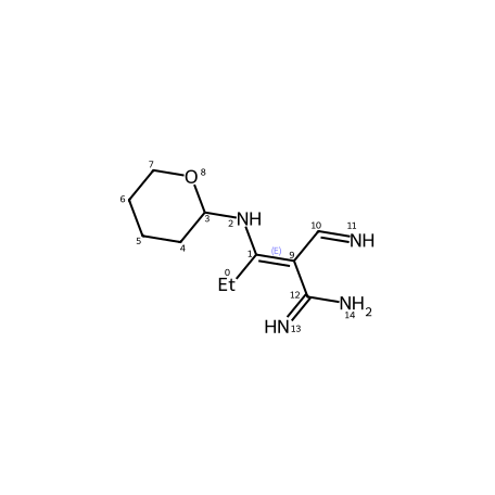 CC/C(NC1CCCCO1)=C(/C=N)C(=N)N